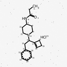 CCC(=O)NC1CCN(C(Cc2ccccc2)C2=CCC2)CC1.Cl